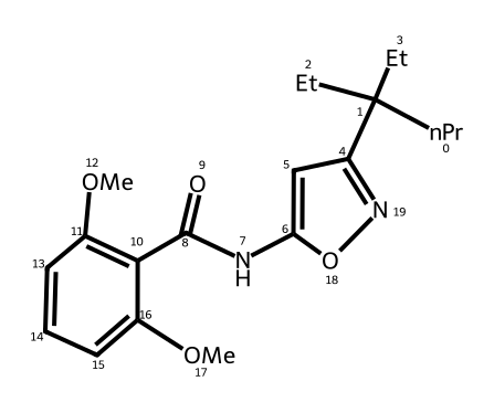 CCCC(CC)(CC)c1cc(NC(=O)c2c(OC)cccc2OC)on1